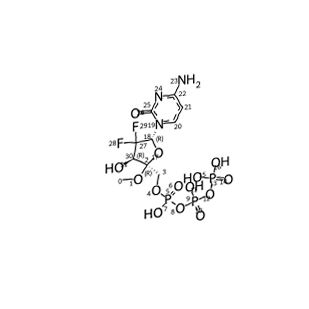 CO[C@]1(COP(=O)(O)OP(=O)(O)OP(=O)(O)O)O[C@@H](n2ccc(N)nc2=O)C(F)(F)[C@@H]1O